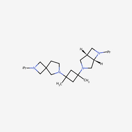 CC(C)N1CC2(CCN(C3(C)CC(C)(N4C[C@@H]5CN(C(C)C)[C@@H]5C4)C3)C2)C1